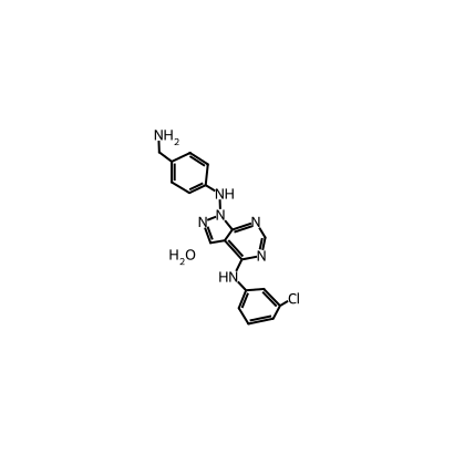 NCc1ccc(Nn2ncc3c(Nc4cccc(Cl)c4)ncnc32)cc1.O